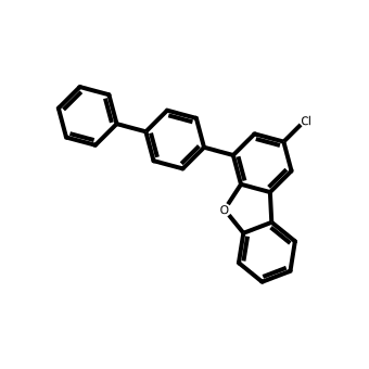 Clc1cc(-c2ccc(-c3ccccc3)cc2)c2oc3ccccc3c2c1